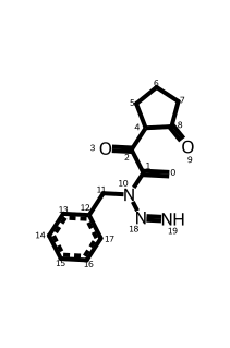 C=C(C(=O)C1CCCC1=O)N(Cc1ccccc1)N=N